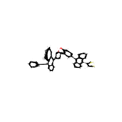 Cc1cscc1-c1c2ccccc2c(-c2ccc3oc4cc(-c5c6ccccc6c(-c6ccccc6)c6ccccc56)ccc4c3c2)c2ccccc12